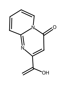 C=C(O)c1cc(=O)n2ccccc2n1